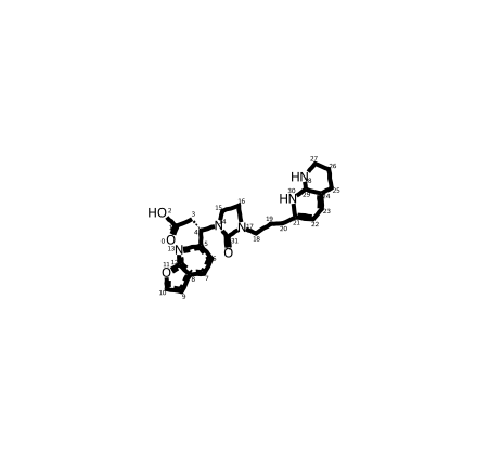 O=C(O)C[C@@H](c1ccc2ccoc2n1)N1CCN(CCCC2=CC=C3CCCNC3N2)C1=O